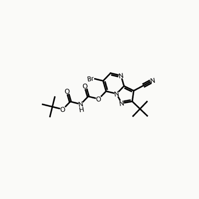 CC(C)(C)OC(=O)NC(=O)Oc1c(Br)cnc2c(C#N)c(C(C)(C)C)nn12